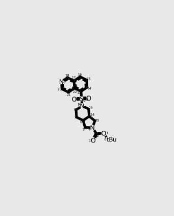 CC(C)(C)OC(=O)N1CC2CCN(S(=O)(=O)c3cccc4cnccc34)CC2C1